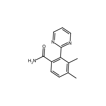 Cc1ccc(C(N)=O)c(-c2ncccn2)c1C